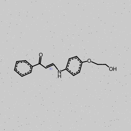 O=C(/C=C/Nc1ccc(OCCO)cc1)c1ccccc1